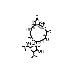 CC[C@@H]1OC(=O)[C@H](C)C(=O)[C@H](C)[C@@H](O[C@@H]2O[C@H]([C@@H](C)N(C)C)CC(N(C)C)C2O)[C@](C)(OC)C[C@@H](C)CN[C@H](C)[C@H]2NC(=O)O[C@]12C